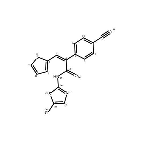 N#Cc1ccc(C(=Cc2cccs2)C(=O)Nc2ncc(Cl)s2)cc1